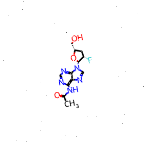 CC(=O)Nc1ncnc2c1ncn2[C@@H]1O[C@H](CO)C[C@@H]1F